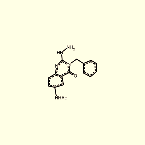 CC(=O)Nc1ccc2nc(NN)n(Cc3ccccc3)c(=O)c2c1